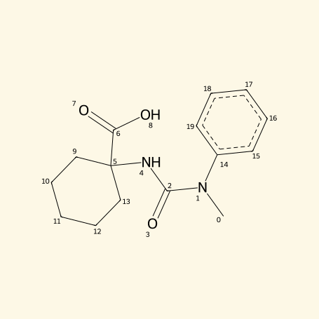 CN(C(=O)NC1(C(=O)O)CCCCC1)c1ccccc1